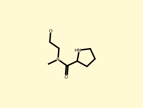 CN(CC[O])C(=O)C1CCCN1